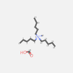 CCCCC[N+](C)(CCCCC)CCCCC.O=CO